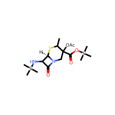 CC(=O)OC1(C(=O)O[Si](C)(C)C)CN2C(=O)C(N[Si](C)(C)C)[C@H]2SC1C